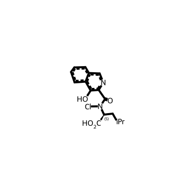 CC(C)C[C@@H](C(=O)O)N(Cl)C(=O)c1ncc2ccccc2c1O